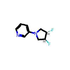 F[C@H]1CN(c2cccnc2)C[C@@H]1F